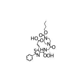 CCCCOC(=O)N1CCN(C(=O)[C@H](CO)NC(=O)c2nc(-c3ccccc3)sc2/C=C/C(=O)O)CC1